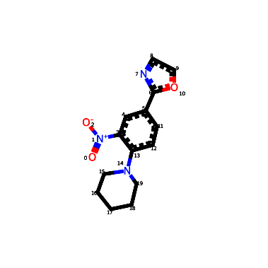 O=[N+]([O-])c1cc(-c2ncco2)ccc1N1CCCCC1